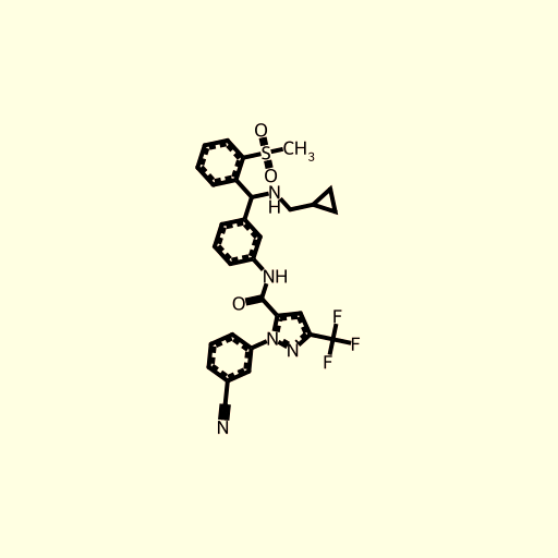 CS(=O)(=O)c1ccccc1C(NCC1CC1)c1cccc(NC(=O)c2cc(C(F)(F)F)nn2-c2cccc(C#N)c2)c1